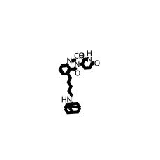 Cc1nc2cccc(CCCCCNC34CC5CC(CC(C5)C3)C4)c2c(=O)n1C1CCC(=O)NC1=O